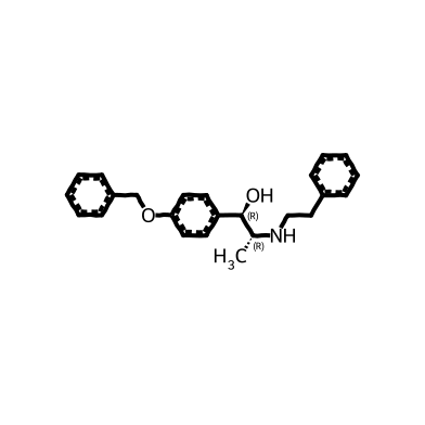 C[C@@H](NCCc1ccccc1)[C@H](O)c1ccc(OCc2ccccc2)cc1